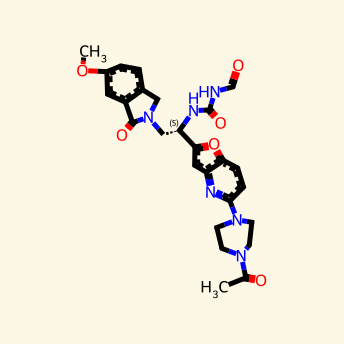 COc1ccc2c(c1)C(=O)N(C[C@H](NC(=O)NC=O)c1cc3nc(N4CCN(C(C)=O)CC4)ccc3o1)C2